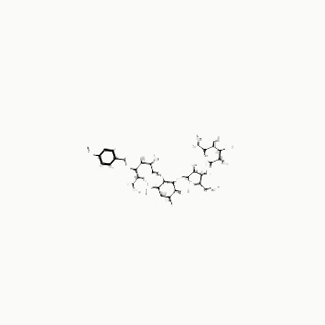 COc1ccc(COC2C(CO)OC(OC3C(N)CC(C)C(O)C3OC3OC(CO)C(OC4OC(CN)C(O)C(O)C4N)C3O)C(N)C2O)cc1